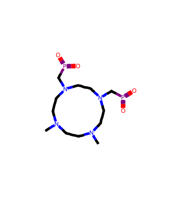 CN1CCN(C)CCN(CP(=O)=O)CCN(CP(=O)=O)CC1